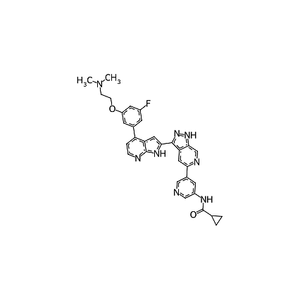 CN(C)CCOc1cc(F)cc(-c2ccnc3[nH]c(-c4n[nH]c5cnc(-c6cncc(NC(=O)C7CC7)c6)cc45)cc23)c1